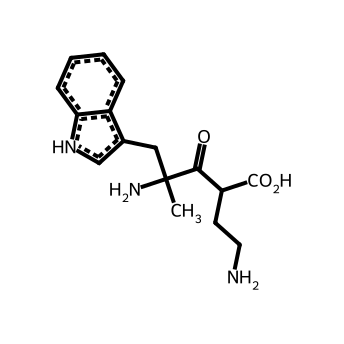 CC(N)(Cc1c[nH]c2ccccc12)C(=O)C(CCN)C(=O)O